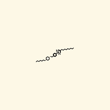 CCCCCCCCCc1cnc(-c2ccc(CC[C@H]3CC[C@H](CCCCCCC)CC3)cc2)nc1